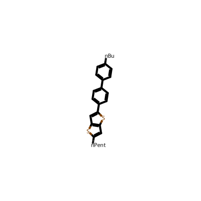 CCCCCc1cc2sc(-c3ccc(-c4ccc(CCCC)cc4)cc3)cc2s1